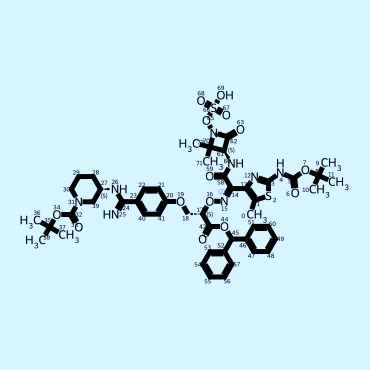 Cc1sc(NC(=O)OC(C)(C)C)nc1/C(=N/O[C@@H](COc1ccc(C(=N)N[C@H]2CCCN(C(=O)OC(C)(C)C)C2)cc1)C(=O)OC(c1ccccc1)c1ccccc1)C(=O)N[C@@H]1C(=O)N(OS(=O)(=O)O)C1(C)C